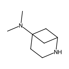 CN(C)C12CCNC(C1)C2